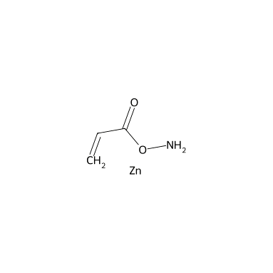 C=CC(=O)ON.[Zn]